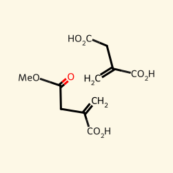 C=C(CC(=O)O)C(=O)O.C=C(CC(=O)OC)C(=O)O